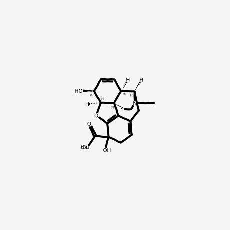 CN1CC[C@]23C4=C5O[C@H]2[C@@H](O)C=C[C@H]3[C@H]1CC4=CCC5(O)C(=O)C(C)(C)C